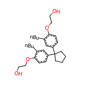 CCCCc1cc(C2(c3ccc(OCCO)c(CCCC)c3)CCCC2)ccc1OCCO